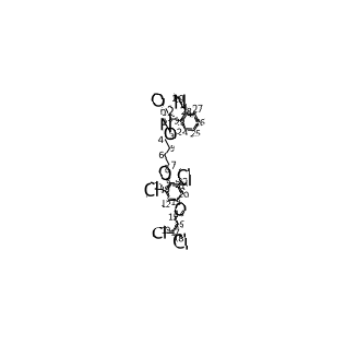 CC(=NOCCCCOc1c(Cl)cc(OCC=C(Cl)Cl)cc1Cl)c1ccccc1[N+](=O)[O-]